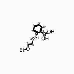 CCOCCSSc1ccccc1B(O)O